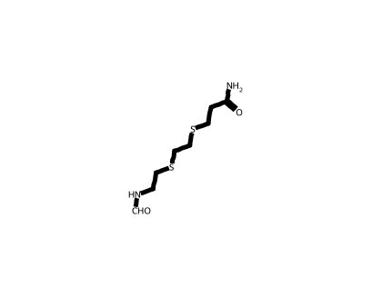 NC(=O)CCSCCSCCNC=O